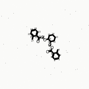 Cc1ccccc1C(=O)OO[C]1CC[CH]CC1OOC(=O)c1ccccc1C